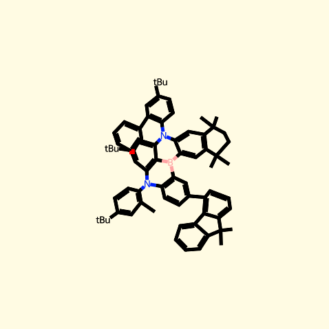 Cc1cc(C(C)(C)C)ccc1N1c2ccc(-c3cccc4c3-c3ccccc3C4(C)C)cc2B2c3cc4c(cc3N(c3ccc(C(C)(C)C)cc3-c3ccccc3)c3cc(C(C)(C)C)cc1c32)C(C)(C)CCC4(C)C